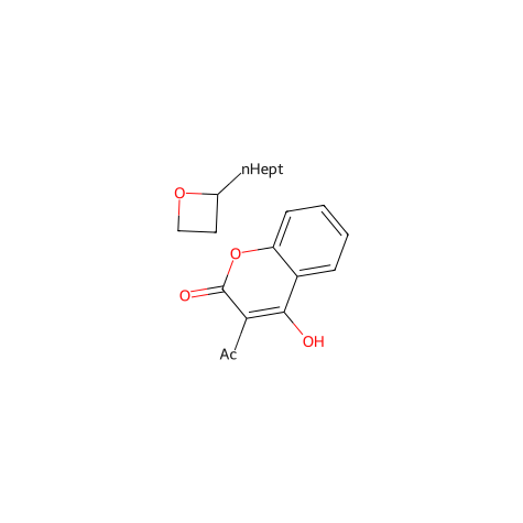 CC(=O)c1c(O)c2ccccc2oc1=O.CCCCCCCC1CCO1